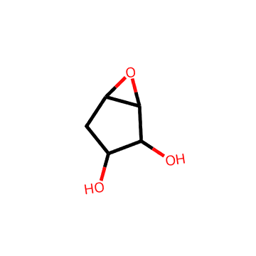 OC1CC2OC2C1O